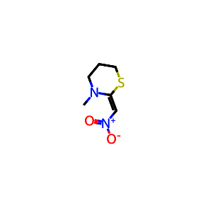 CN1CCCSC1=C[N+](=O)[O-]